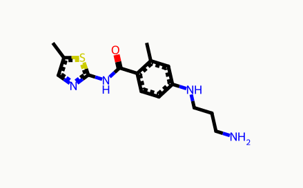 Cc1cnc(NC(=O)c2ccc(NCCCN)cc2C)s1